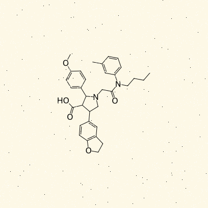 CCCCN(C(=O)CN1CC(c2ccc3c(c2)CCO3)C(C(=O)O)C1c1ccc(OC)cc1)c1cccc(C)c1